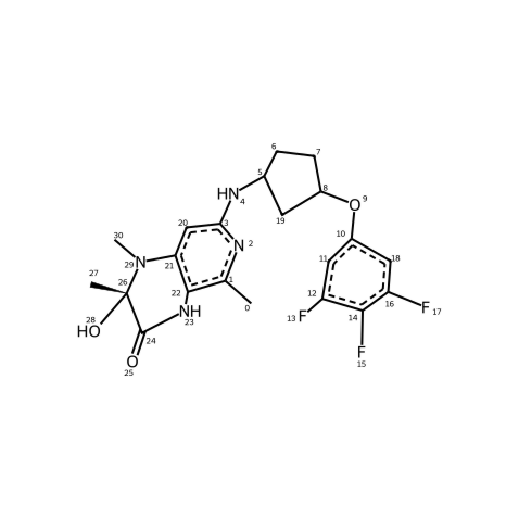 Cc1nc(NC2CCC(Oc3cc(F)c(F)c(F)c3)C2)cc2c1NC(=O)[C@](C)(O)N2C